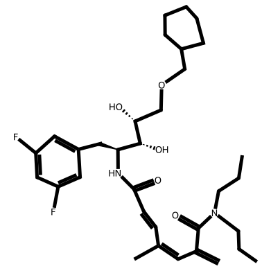 C=C(/C=C(C)\C=C\C(=O)N[C@@H](Cc1cc(F)cc(F)c1)[C@@H](O)[C@H](O)COCC1CCCCC1)C(=O)N(CCC)CCC